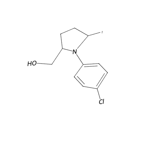 [CH]C1CCC(CO)N1c1ccc(Cl)cc1